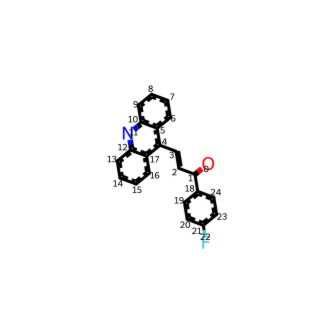 O=C(C=Cc1c2ccccc2nc2ccccc12)c1ccc(F)cc1